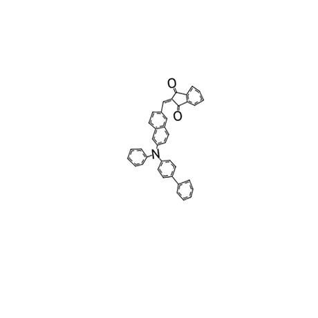 O=C1C(=Cc2ccc3cc(N(c4ccccc4)c4ccc(-c5ccccc5)cc4)ccc3c2)C(=O)c2ccccc21